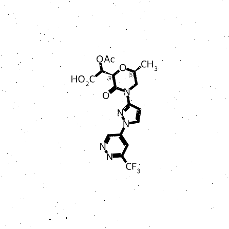 CC(=O)OC(C(=O)O)[C@H]1O[C@@H](C)CN(c2ccn(-c3cnnc(C(F)(F)F)c3)n2)C1=O